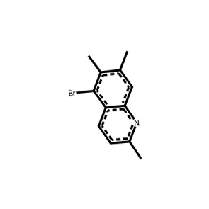 Cc1ccc2c(Br)c(C)c(C)cc2n1